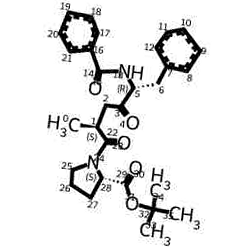 C[C@@H](CC(=O)[C@@H](Cc1ccccc1)NC(=O)c1ccccc1)C(=O)N1CCC[C@H]1C(=O)OC(C)(C)C